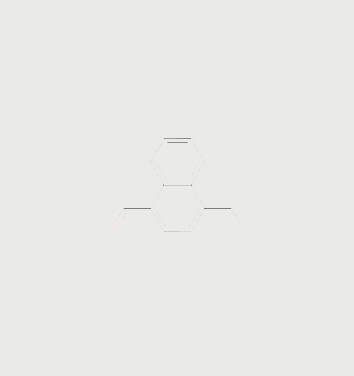 O=Cc1ccc(CI)c2ccccc12